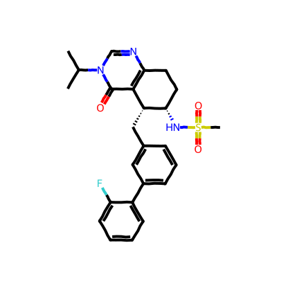 CC(C)n1cnc2c(c1=O)[C@@H](Cc1cccc(-c3ccccc3F)c1)[C@@H](NS(C)(=O)=O)CC2